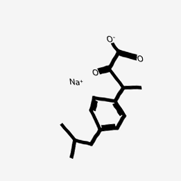 CC(C)Cc1ccc(C(C)C(=O)C(=O)[O-])cc1.[Na+]